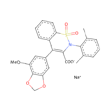 COc1cc(C2=C(C(=O)[O-])N(c3c(C)cccc3C)S(=O)(=O)c3ccccc32)cc2c1OCO2.[Na+]